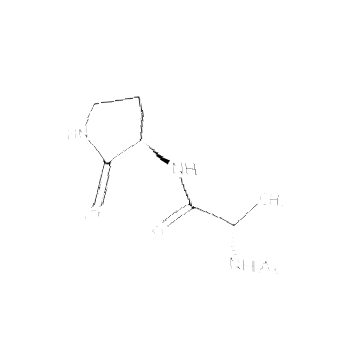 CC(=O)N[C@@H](C)C(=O)N[C@@H]1CCNC1=O